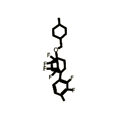 Cc1ccc(C23CCC(OCC4CCC(C)CC4)(CC2)C(F)(F)C3(F)F)c(F)c1F